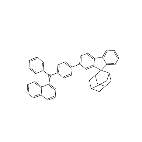 c1ccc(N(c2ccc(-c3ccc4c(c3)C3(c5ccccc5-4)C4CC5CC(C4)CC3C5)cc2)c2cccc3ccccc23)cc1